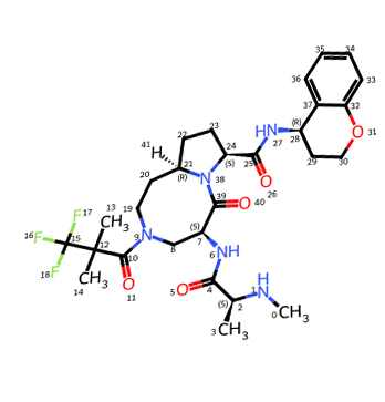 CN[C@@H](C)C(=O)N[C@H]1CN(C(=O)C(C)(C)C(F)(F)F)CC[C@H]2CC[C@@H](C(=O)N[C@@H]3CCOc4ccccc43)N2C1=O